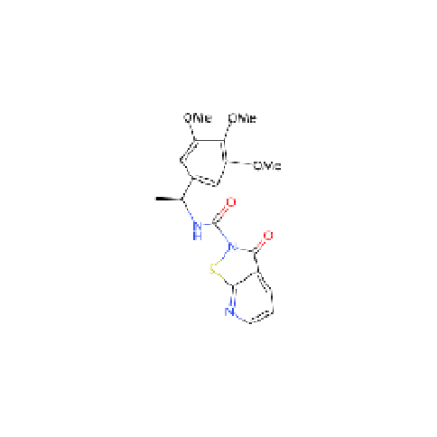 COc1cc([C@H](C)NC(=O)n2sc3ncccc3c2=O)cc(OC)c1OC